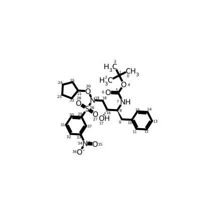 CC(C)(C)OC(=O)N[C@@H](Cc1ccccc1)[C@H](O)CN(OC1CCCC1)S(=O)(=O)c1cccc([N+](=O)[O-])c1